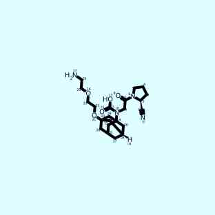 N#C[C@@H]1CCCN1C(=O)CN(C(=O)O)C12CC3C[C@H](CC(OCCOCCN)(C3)C1)C2